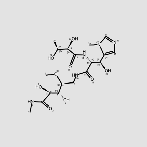 CNC(=O)[C@@H](O)[C@@H](O)[C@H](CNC(=O)[C@H](NC(=O)[C@H](O)[C@H](C)O)[C@H](O)c1cncn1C)OC